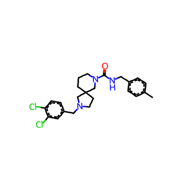 Cc1ccc(CNC(=O)N2CCCC3(CCN(Cc4ccc(Cl)c(Cl)c4)C3)C2)cc1